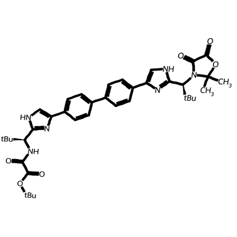 CC(C)(C)OC(=O)C(=O)N[C@H](c1nc(-c2ccc(-c3ccc(-c4c[nH]c([C@@H](N5C(=O)C(=O)OC5(C)C)C(C)(C)C)n4)cc3)cc2)c[nH]1)C(C)(C)C